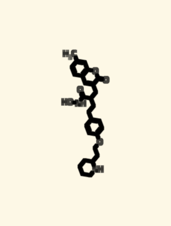 Cc1ccc2cc(CC(CCc3ccc(OCCC4CCCCN4)cc3)C(=O)NO)c(=O)oc2c1